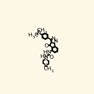 CN1CCN(NC(=O)Nc2cccc3c2C(=O)C2=C(c4ccc(N(C)C)cc4)N=NC23)CC1